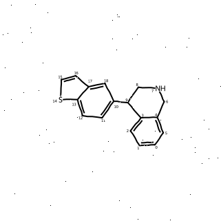 c1ccc2c(c1)CNCC2c1ccc2sccc2c1